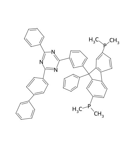 CP(C)c1ccc2c(c1)C(c1ccccc1)(c1cccc(-c3nc(-c4ccccc4)nc(-c4ccc(-c5ccccc5)cc4)n3)c1)c1cc(P(C)C)ccc1-2